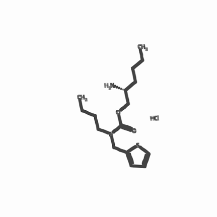 CCCC[C@@H](N)COC(=O)N(CCCC)Cc1cccs1.Cl